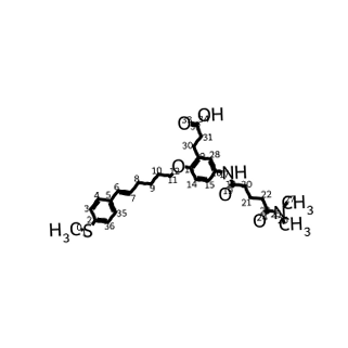 CSc1ccc(/C=C/CCCCOc2ccc(NC(=O)CCCC(=O)N(C)C)cc2CCC(=O)O)cc1